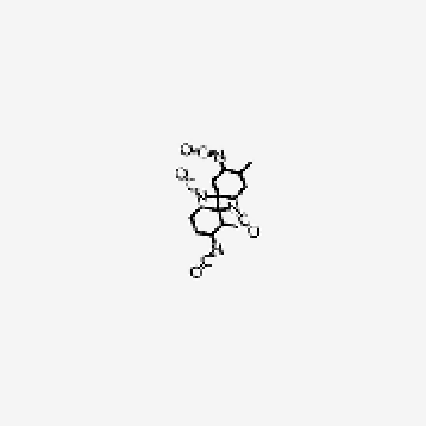 CC1CCC(N=C=O)(C2(N=C=O)CCCC(N=C=O)C2C)CC1N=C=O